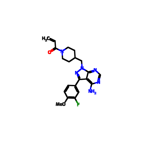 C=CC(=O)N1CCC(Cn2nc(-c3ccc(OC)c(F)c3)c3c(N)ncnc32)CC1